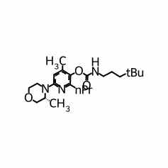 CCCc1nc(N2CCOC[C@H]2C)cc(C)c1OC(=O)NCCCC(C)(C)C